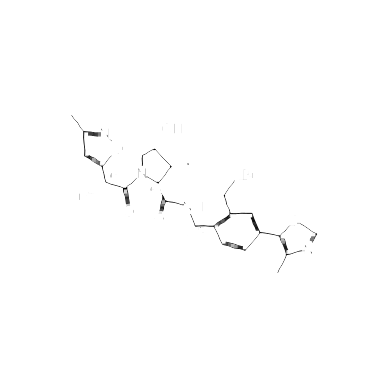 Cc1cc([C@H](C(=O)N2C[C@H](O)[C@H](F)[C@H]2C(=O)N[C@@H](C)c2ccc(-c3scnc3C)cc2CC(C)(C)C)C(C)C)on1